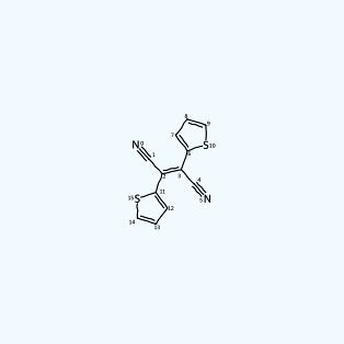 N#C/C(=C(/C#N)c1cccs1)c1cccs1